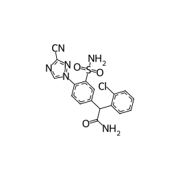 N#Cc1ncn(-c2ccc(C(C(N)=O)c3ccccc3Cl)cc2S(N)(=O)=O)n1